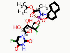 CC(C)OC(=O)[C@H](C)NP(=S)(OC[C@@]1(C(F)F)O[C@@H](n2cc(F)c(=O)[nH]c2=O)[C@H](O)[C@@H]1O)Oc1ccc2ccccc2c1